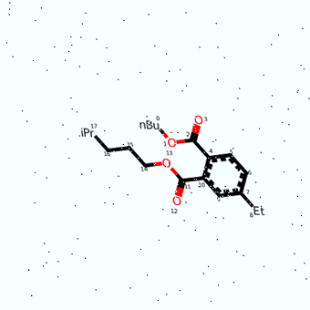 CCCCOC(=O)c1ccc(CC)cc1C(=O)OCCCC(C)C